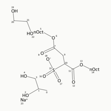 CC(O)CO.CCCCCCCCOC(=O)CC(C(=O)OCCCCCCCC)S(=O)(=O)[O-].OCCO.[Na+]